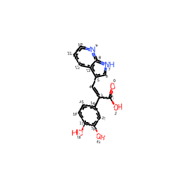 O=C(O)C(=Cc1c[nH]c2ncccc12)c1ccc(O)c(O)c1